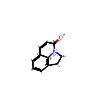 O=c1ccc2cccc3c2n1CC3